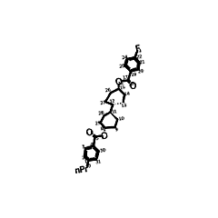 CCCc1ccc(C(=O)O[C@H]2CC[C@H]([C@H]3CC[C@H](OC(=O)c4ccc(F)cc4)CC3)CC2)cc1